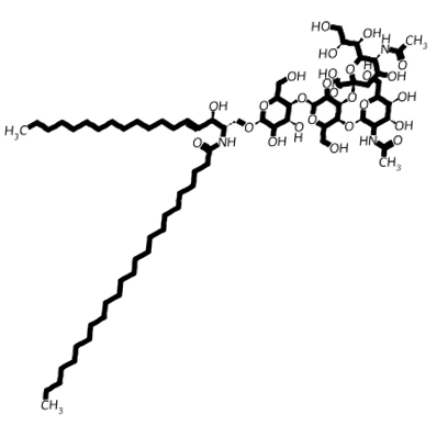 CCCCCCCCCCCCC/C=C/[C@@H](O)[C@H](CO[C@@H]1OC(CO)[C@@H](O[C@@H]2OC(CO)[C@H](O[C@@H]3OC(CO)[C@H](O)[C@H](O)C3NC(C)=O)[C@H](O[C@]3(C(=O)O)CC(O)[C@@H](NC(C)=O)C([C@H](O)[C@H](O)CO)O3)C2O)[C@H](O)C1O)NC(=O)CCCCCCCCCCCCCCCCCCCCCCC